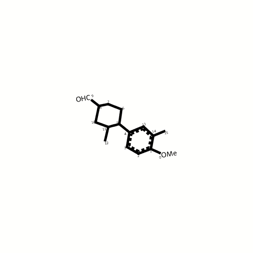 COc1ccc(C2CCC(C=O)CC2C)cc1C